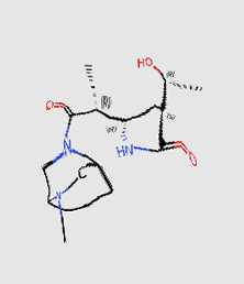 C[C@@H](O)[C@H]1C(=O)N[C@@H]1[C@@H](C)C(=O)N1CC2CCC1CN2C